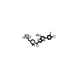 CC(C)(C)c1cc(-c2ccc(Cl)c(F)c2)nc2cc(C(=O)N3CCC(CC(=O)NC#N)CC3(C)C)oc12